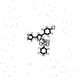 O=S(=O)(Nn1nc(-c2ccsc2)cc1-c1ccc(Cl)cc1)c1ccccc1